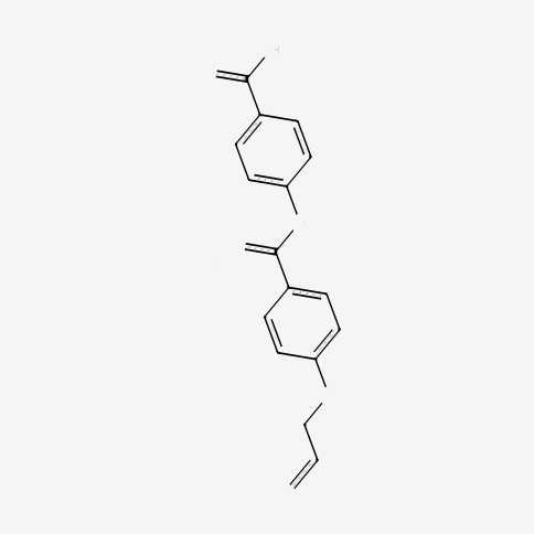 C=CCOc1ccc(C(=O)Oc2ccc(C(=O)O)cc2)cc1.Cl